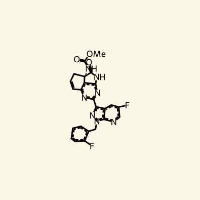 COC(=O)N[C@@]12CC=Cc3nc(-c4nn(Cc5ccccc5F)c5ncc(F)cc45)nc(c31)NC2=O